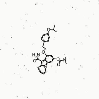 CC(C)Oc1ccc(CCOc2cc(OC(=O)N(C)C)cc3c2c(C(N)=O)c2ccccn23)cc1